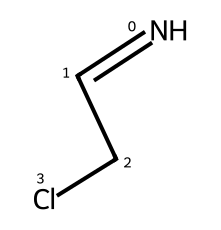 N=CCCl